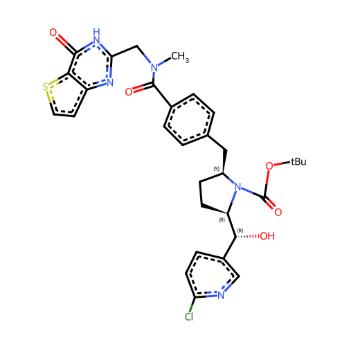 CN(Cc1nc2ccsc2c(=O)[nH]1)C(=O)c1ccc(C[C@@H]2CC[C@H]([C@H](O)c3ccc(Cl)nc3)N2C(=O)OC(C)(C)C)cc1